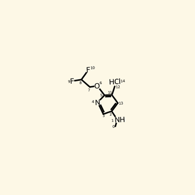 CNc1cnc(OCC(F)F)c(C)c1.Cl